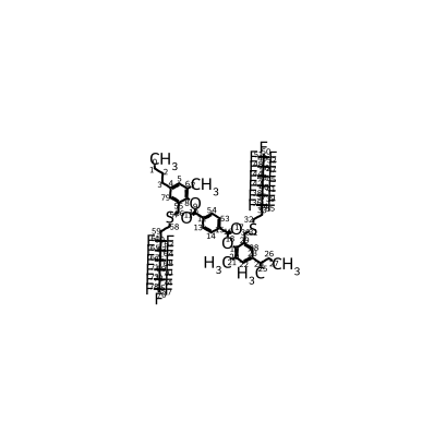 CCCCc1cc(C)c(OC(=O)c2ccc(C(=O)Oc3c(C)cc(C(C)CC)cc3CSCCC(F)(F)C(F)(F)C(F)(F)C(F)(F)C(F)(F)C(F)(F)F)cc2)c(CSCCC(F)(F)C(F)(F)C(F)(F)C(F)(F)C(F)(F)C(F)(F)F)c1